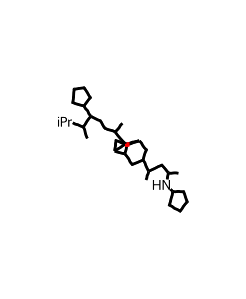 CC(CC(C)C1CC2C3CC2C(C(C)CCC(C2CCCC2)C(C)C(C)C)C3C1)NC1CCCC1